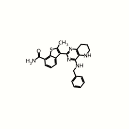 Cc1sc2c(C(N)=O)cccc2c1-c1nc2c(c(NCc3ccccc3)n1)NCCC2